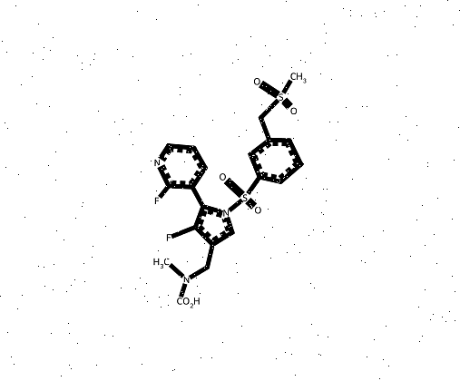 CN(Cc1cn(S(=O)(=O)c2cccc(CS(C)(=O)=O)c2)c(-c2cccnc2F)c1F)C(=O)O